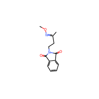 CON=C(C)CCN1C(=O)c2ccccc2C1=O